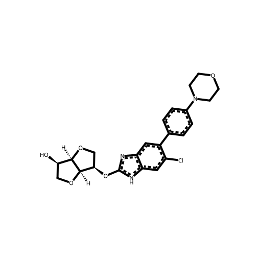 O[C@@H]1CO[C@H]2[C@@H]1OC[C@H]2Oc1nc2cc(-c3ccc(N4CCOCC4)cc3)c(Cl)cc2[nH]1